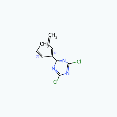 C=C/C=C(\C=C/C)c1nc(Cl)nc(Cl)n1